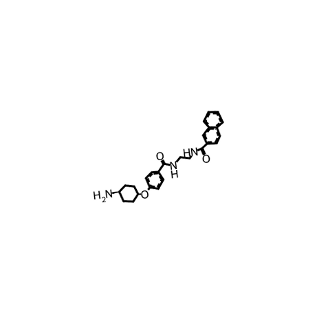 N[C@H]1CC[C@@H](Oc2ccc(C(=O)NCCNC(=O)c3ccc4ccccc4c3)cc2)CC1